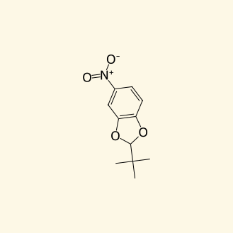 CC(C)(C)C1Oc2ccc([N+](=O)[O-])cc2O1